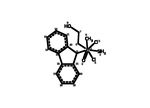 [CH3][Zr](=[O])([SiH3])([Cl])([Cl])([CH2]CO)[CH]1c2ccccc2-c2ccccc21